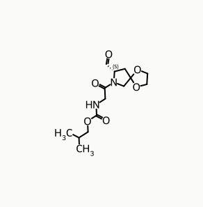 CC(C)COC(=O)NCC(=O)N1CC2(C[C@H]1C=O)OCCO2